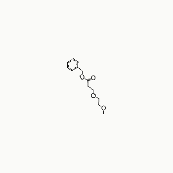 COCCOCCC(=O)OCc1ccccc1